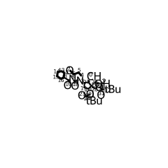 C=C1[C@@H](n2ccc(=O)n(C(=O)c3ccccc3)c2=O)C[C@H](OC(=O)C(C)(C)C)[C@@]1(CO)COC(=O)C(C)(C)C